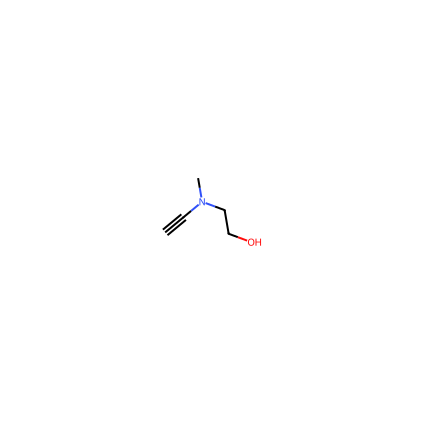 C#CN(C)CCO